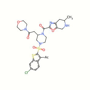 CC(=O)c1c(S(=O)(=O)N2CCN(C(=O)c3nc4c(o3)CNC(C)C4)C(CC(=O)N3CCOCC3)C2)sc2cc(Cl)ccc12